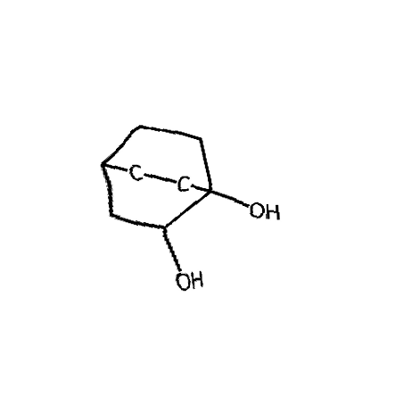 OC1CC2CCC1(O)CC2